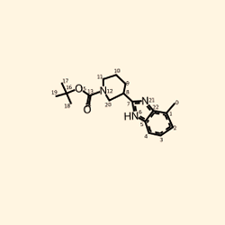 Cc1cccc2[nH]c(C3CCCN(C(=O)OC(C)(C)C)C3)nc12